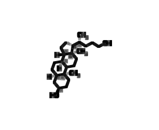 C[C@H](CCCO)[C@H]1CC[C@H]2[C@@H]3CC[C@@H]4C[C@H](O)CC[C@]4(C)C3CC[C@]12C